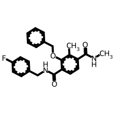 CNC(=O)c1ccc(C(=O)NCc2ccc(F)cc2)c(OCc2ccccc2)c1C